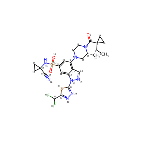 CCC1(C(=O)N2CCN(c3cc(S(=O)(=O)NC4(C#N)CC4)cc4c3cnn4-c3nnc(C(F)F)s3)C[C@H]2C)CC1